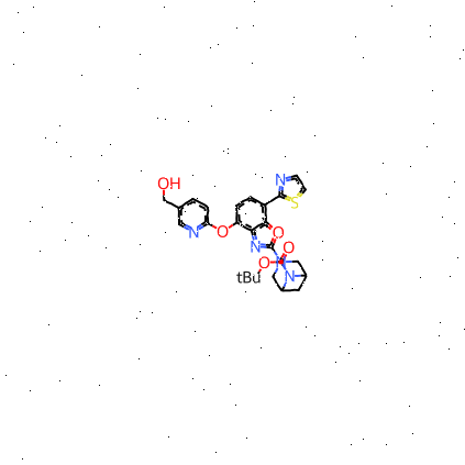 CC(C)(C)OC(=O)N1C2CC1CN(c1nc3c(Oc4ccc(CO)cn4)ccc(-c4nccs4)c3o1)C2